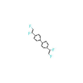 FC=C(F)c1ccc(-c2ccc(C(F)=CF)cc2)cc1